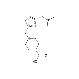 CN(C)Cc1ccc(CN2CCC(C(=O)O)CC2)o1